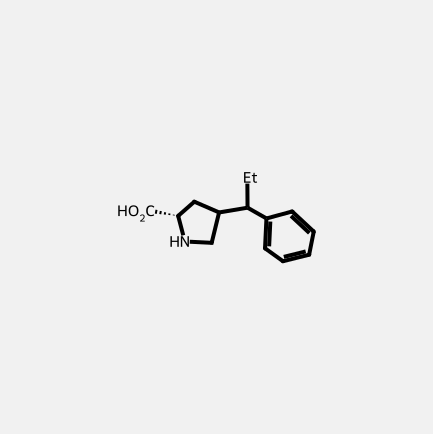 CCC(c1ccccc1)C1CN[C@H](C(=O)O)C1